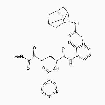 CNC(=O)C(=O)CC[C@H](NC(=O)c1ccnnc1)C(=O)Nc1cccn(CC(=O)NC2C3CC4CC(C3)CC2C4)c1=O